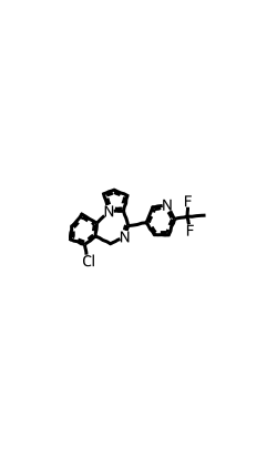 CC(F)(F)c1ccc(C2=NCc3c(Cl)cccc3-n3cccc32)cn1